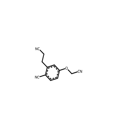 N#CCCc1cc(OCC#N)ccc1C#N